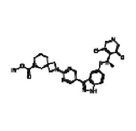 CC(C)OC(=O)N1CCCC2(C1)CN(c1ncc(-c3n[nH]c4ccc(O[C@H](C)c5c(Cl)cncc5Cl)cc34)cn1)C2